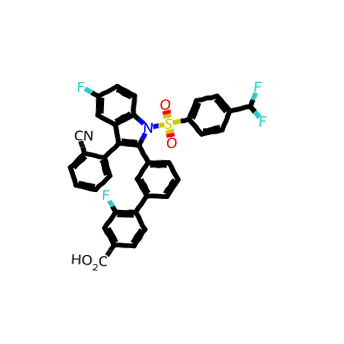 N#Cc1ccccc1-c1c(-c2cccc(-c3ccc(C(=O)O)cc3F)c2)n(S(=O)(=O)c2ccc(C(F)F)cc2)c2ccc(F)cc12